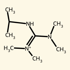 CC(C)NC(N(C)C)=[N+](C)C